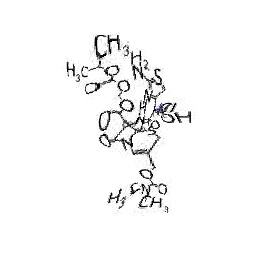 CC(C)OC(=O)OCOC(=O)[C@@]1(NC(=O)/C(=N\O)c2csc(N)n2)C(=O)N2C=C(COC(=O)N(C)C)CS[C@H]21.Cl